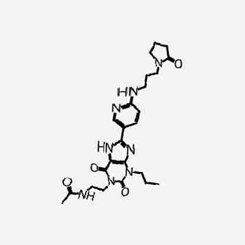 CCCn1c(=O)n(CCNC(C)=O)c(=O)c2[nH]c(-c3ccc(NCCCN4CCCC4=O)nc3)nc21